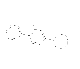 Fc1cc(C2CCNCC2)ccc1-c1ccccc1